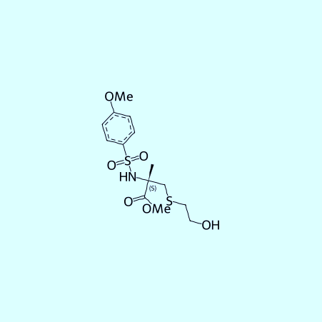 COC(=O)[C@@](C)(CSCCO)NS(=O)(=O)c1ccc(OC)cc1